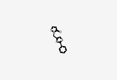 O=c1ccsn1Cc1csc(-c2ccccc2)n1